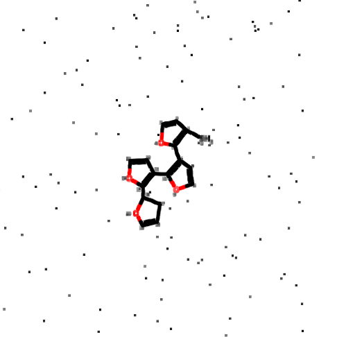 [SiH3]c1ccoc1-c1ccoc1-c1ccoc1C1CC=CO1